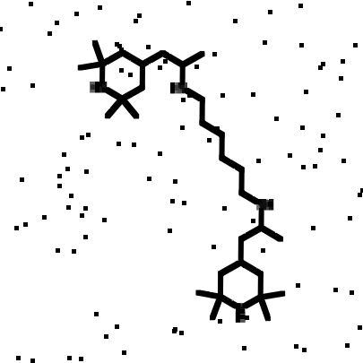 CC(CC1CC(C)(C)NC(C)(C)C1)NCCCCCCNC(C)CC1CC(C)(C)NC(C)(C)C1